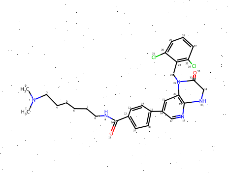 CN(C)CCCCCCNC(=O)c1ccc(-c2cnc3c(c2)N(Cc2c(Cl)cccc2Cl)C(=O)CN3)cc1